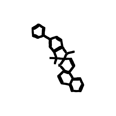 CN1c2ccc(-c3ccccc3)cc2C(C)(C)C12C=Cc1c(ccc3ccccc13)O2